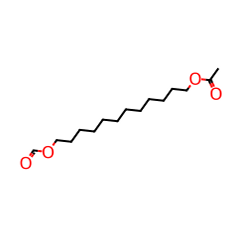 CC(=O)OCCCCCCCCCCCCOC=O